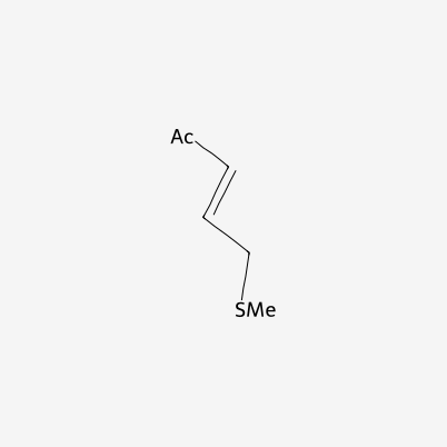 CSC/C=C/C(C)=O